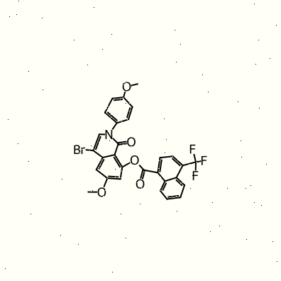 COc1ccc(-n2cc(Br)c3cc(OC)cc(OC(=O)c4ccc(C(F)(F)F)c5ccccc45)c3c2=O)cc1